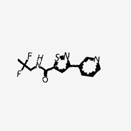 CC(F)(F)CNC(=O)c1cc(-c2cccnc2)ns1